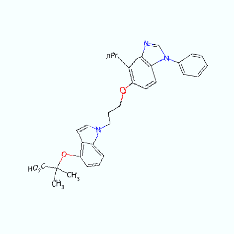 CCCc1c(OCCCn2ccc3c(OC(C)(C)C(=O)O)cccc32)ccc2c1ncn2-c1ccccc1